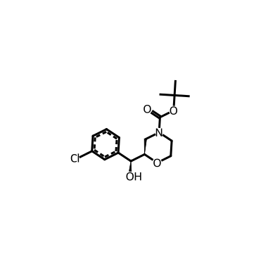 CC(C)(C)OC(=O)N1CCO[C@@H]([C@@H](O)c2cccc(Cl)c2)C1